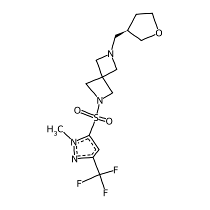 Cn1nc(C(F)(F)F)cc1S(=O)(=O)N1CC2(CN(C[C@H]3CCOC3)C2)C1